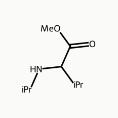 COC(=O)C(NC(C)C)C(C)C